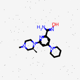 C[C@H]1CN(C)CCN1c1cc(N2CCCCC2)cc(/C(N)=N/O)n1